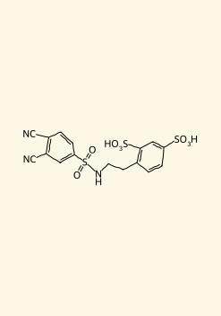 N#Cc1ccc(S(=O)(=O)NCCc2ccc(S(=O)(=O)O)cc2S(=O)(=O)O)cc1C#N